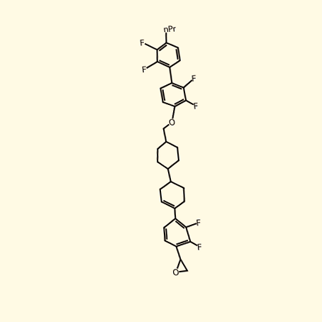 CCCc1ccc(-c2ccc(OCC3CCC(C4CC=C(c5ccc(C6CO6)c(F)c5F)CC4)CC3)c(F)c2F)c(F)c1F